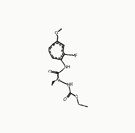 CCOC(=O)NN(C)C(=O)Nc1ccc(OC)cc1F